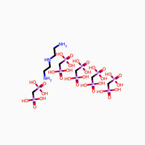 NCCNCCN.O=P(O)(O)CP(=O)(O)O.O=P(O)(O)CP(=O)(O)O.O=P(O)(O)CP(=O)(O)O.O=P(O)(O)CP(=O)(O)O.O=P(O)(O)CP(=O)(O)O